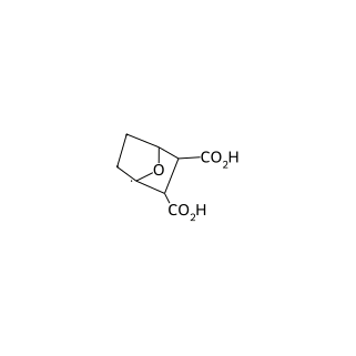 O=C(O)C1[C]2CCC(O2)C1C(=O)O